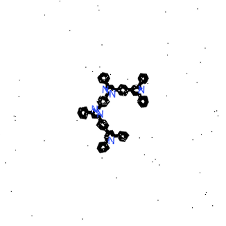 c1ccc(-c2cc(-c3ccc(-c4cc(-c5ccccc5)nc(-c5ccc(-c6nc(-c7ccccc7)cc(-c7ccc(-c8cc(-c9ccccc9)nc(-c9ccccc9)c8)cc7)n6)cc5)n4)cc3)cc(-c3ccccc3)n2)cc1